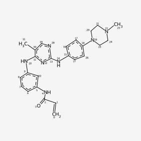 C=CC(=O)Nc1cccc(Nc2nc(Nc3ccc(N4CCN(C)CC4)cc3)ncc2C)c1